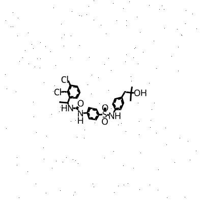 CC(NC(=O)Nc1ccc(S(=O)(=O)Nc2ccc(CC(C)(C)O)cc2)cc1)c1cccc(Cl)c1Cl